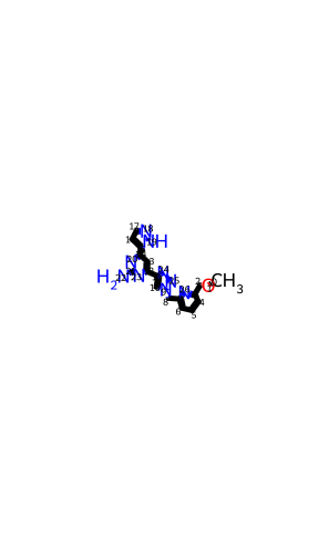 COCc1cccc(Cn2cc(-c3cc(-c4ccn[nH]4)nc(N)n3)nn2)n1